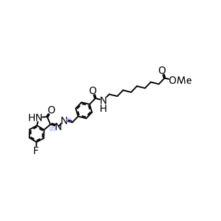 COC(=O)CCCCCCCCNC(=O)c1ccc(/C=N/N=C2\C(=O)Nc3ccc(F)cc32)cc1